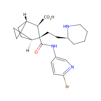 O=C(O)[C@@H]1[C@H]2CC[C@@H](C23CC3)[C@@]1(CC[C@@H]1CCCCN1)C(=O)Nc1ccc(Br)nc1